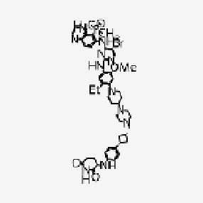 CCc1cc(Nc2ncc(Br)c(Nc3ccc4nccnc4c3P(C)(C)=O)n2)c(OC)cc1N1CCC(N2CCN(C[C@H]3C[C@H](c4ccc(NC5CCC(=O)NC5=O)cc4)C3)CC2)CC1